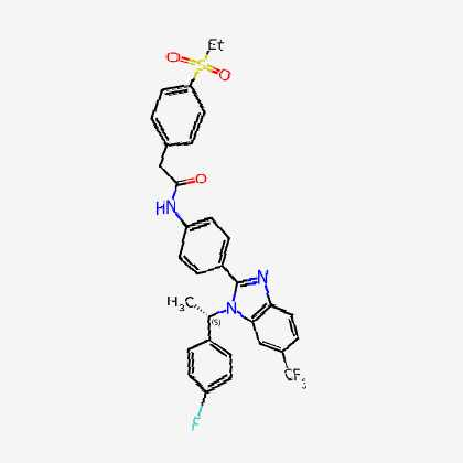 CCS(=O)(=O)c1ccc(CC(=O)Nc2ccc(-c3nc4ccc(C(F)(F)F)cc4n3[C@@H](C)c3ccc(F)cc3)cc2)cc1